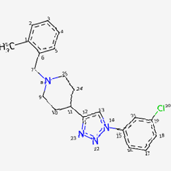 Cc1ccccc1CN1CCC(c2cn(-c3cccc(Cl)c3)nn2)CC1